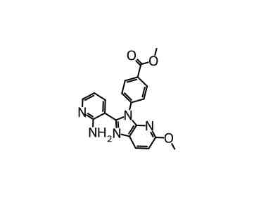 COC(=O)c1ccc(-n2c(-c3cccnc3N)nc3ccc(OC)nc32)cc1